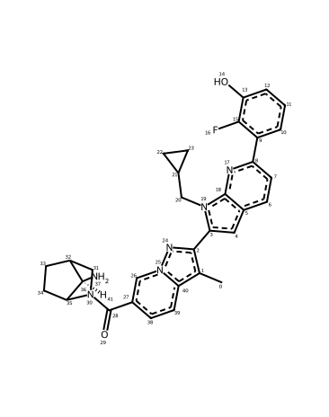 Cc1c(-c2cc3ccc(-c4cccc(O)c4F)nc3n2CC2CC2)nn2cc(C(=O)N3CC4CCC3[C@@H]4N)ccc12